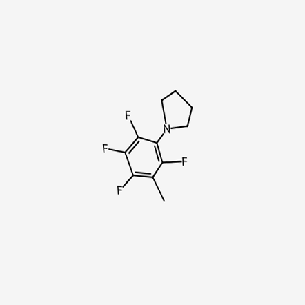 Cc1c(F)c(F)c(F)c(N2CCCC2)c1F